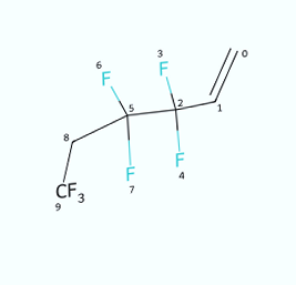 C=CC(F)(F)C(F)(F)CC(F)(F)F